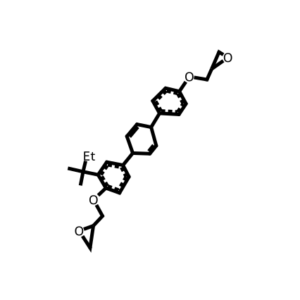 CCC(C)(C)c1cc(C2C=CC(c3ccc(OCC4CO4)cc3)C=C2)ccc1OCC1CO1